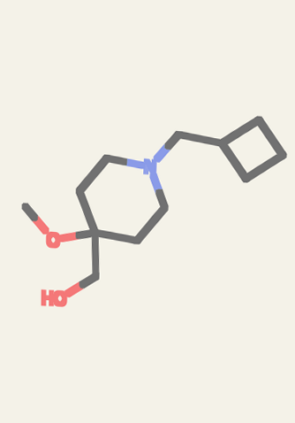 COC1(CO)CCN(CC2CCC2)CC1